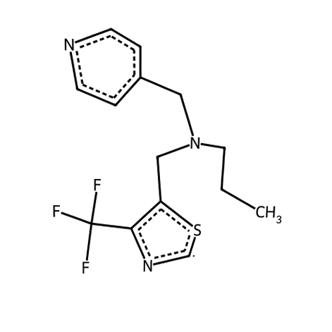 CCCN(Cc1ccncc1)Cc1s[c]nc1C(F)(F)F